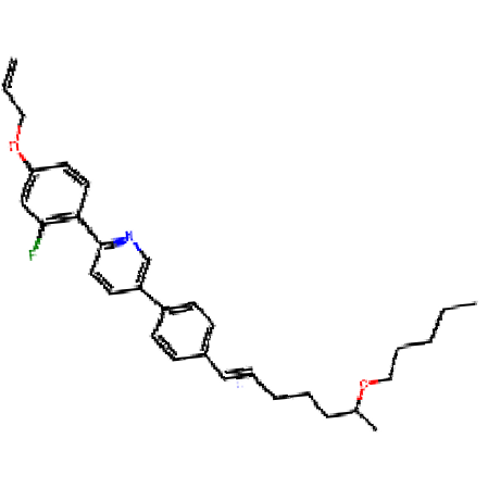 C=CCOc1ccc(-c2ccc(-c3ccc(/C=C/CCCC(C)OCCCCC)cc3)cn2)c(F)c1